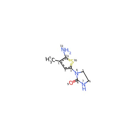 Cc1cc(N2CCNC2=O)sc1N